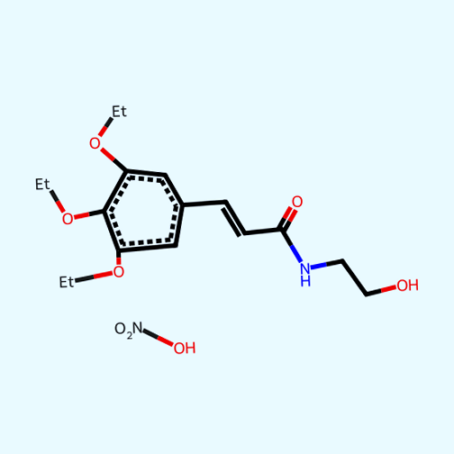 CCOc1cc(/C=C/C(=O)NCCO)cc(OCC)c1OCC.O=[N+]([O-])O